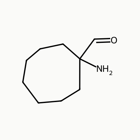 NC1(C=O)CCCCCCC1